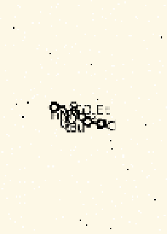 CCOC(=O)C1(NC(=O)C(Cc2ccccc2)NC(=O)OC(C)(C)C)Cc2ccc(-c3ccc(Cl)cc3)cc2C1